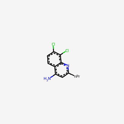 CCCc1cc(N)c2ccc(Cl)c(Cl)c2n1